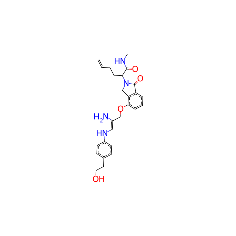 C=CCCC(C(=O)NC)N1Cc2c(OC/C(N)=C/Nc3ccc(CCO)cc3)cccc2C1=O